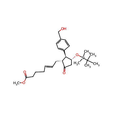 COC(=O)CCCC=CC[C@H]1C(=O)C[C@@H](O[Si](C)(C)C(C)(C)C)[C@@H]1c1ccc(CO)cc1